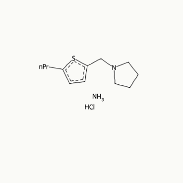 CCCc1ccc(CN2CCCC2)s1.Cl.N